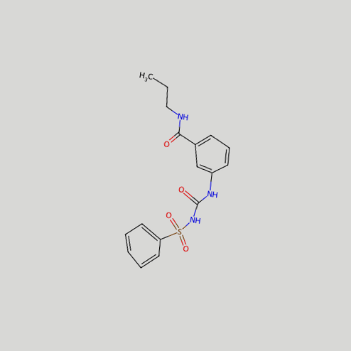 CCCNC(=O)c1cccc(NC(=O)NS(=O)(=O)c2ccccc2)c1